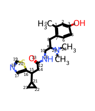 Cc1cc(O)ccc1CC(CNC(=O)CC(c1cncs1)C1CC1)N(C)C